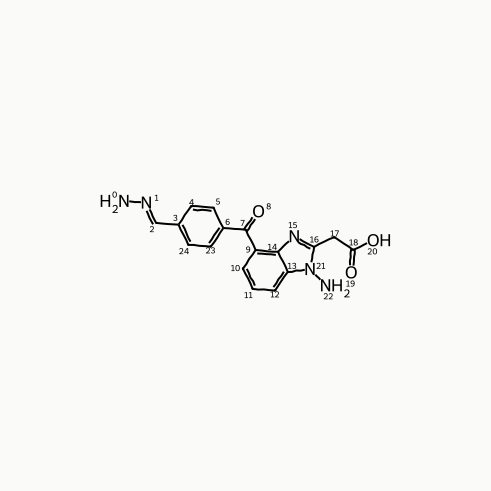 NN=Cc1ccc(C(=O)c2cccc3c2nc(CC(=O)O)n3N)cc1